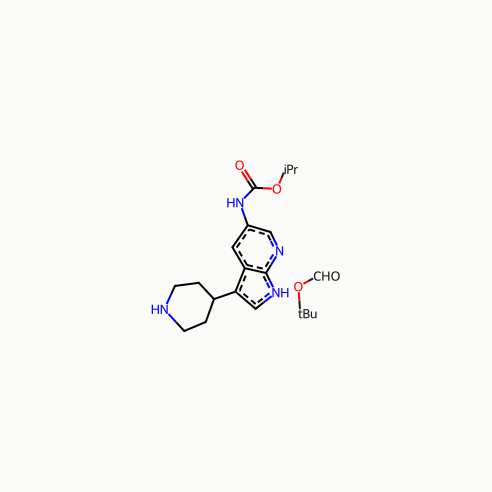 CC(C)(C)OC=O.CC(C)OC(=O)Nc1cnc2[nH]cc(C3CCNCC3)c2c1